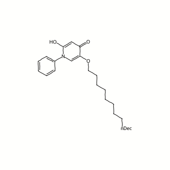 CCCCCCCCCCCCCCCCCCOc1cn(-c2ccccc2)c(O)cc1=O